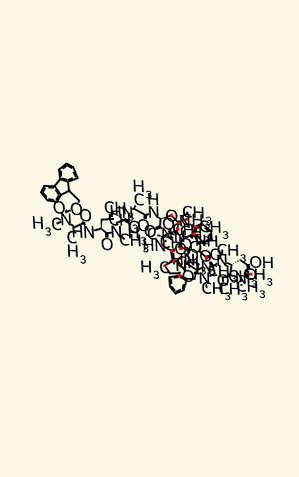 CC(C)C[C@H](NC(=O)[C@H](C)N(C)C(=O)OCC1c2ccccc2-c2ccccc21)C(=O)N(C)CC(=O)N[C@@H](C)C(=O)N[C@@H](CC(C)C)C(=O)N(C)[C@@H](Cc1ccccc1)C(=O)N(C)[C@@H](C)C(=O)NCC(=O)N(C)[C@@H](Cc1ccccc1)C(=O)N1CCC[C@H]1C(=O)N[C@@H](C)C(=O)N(C)[C@@H](CC(C)C)C(=O)NCC(=O)N(C)[C@H](C(=O)N(C)[C@H](CC(=O)O)C(=O)N(C)C)C(C)C